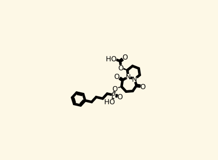 O=C(O)O[C@H]1CCCN2C(=O)CC[C@H](OP(=O)(O)CCCCc3ccccc3)C(=O)N12